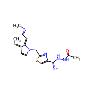 C/C=c1/ccn(Cc2nc(C(=N)NNC(C)=O)cs2)/c1=C/C=N/C